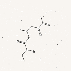 C=C(C)C(=O)CC(C)OC(=O)C(Br)CC